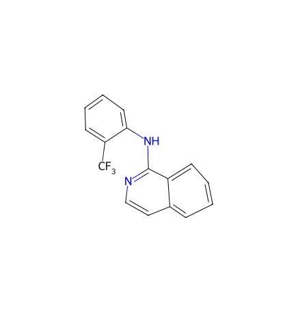 FC(F)(F)c1ccccc1Nc1nccc2ccccc12